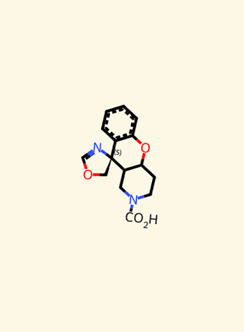 O=C(O)N1CCC2Oc3ccccc3[C@]3(COC=N3)C2C1